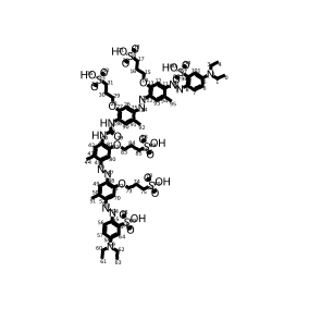 CCN(CC)c1ccc(N=Nc2cc(OCCCS(=O)(=O)O)c(N=Nc3cc(OCCCS(=O)(=O)O)c(NC(=O)Nc4cc(C)c(N=Nc5cc(C)c(N=Nc6ccc(N(CC)CC)cc6S(=O)(=O)O)cc5OCCCS(=O)(=O)O)cc4OCCCS(=O)(=O)O)cc3C)cc2C)c(S(=O)(=O)O)c1